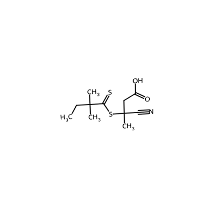 CCC(C)(C)C(=S)SC(C)(C#N)CC(=O)O